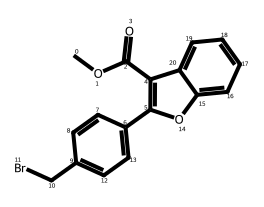 COC(=O)c1c(-c2ccc(CBr)cc2)oc2ccccc12